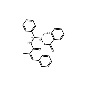 CC(=Cc1ccccc1)C(=O)N[C@@H](c1ccccc1)[C@@H](OC(=O)c1ccccc1)C(=O)O